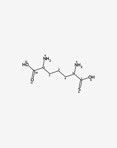 NC(CCCC(N)C(O)=S)C(=O)O